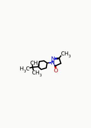 CC1=NN(C2CCC(C(C)(C)C)CC2)C(=O)C1